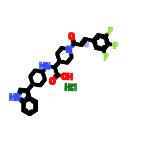 Cl.O=C(O)C(NC1CCC(c2c[nH]c3ccccc23)CC1)C1CCN(C(=O)/C=C/c2cc(F)c(F)c(F)c2)CC1